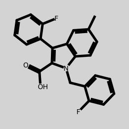 Cc1ccc2c(c1)c(-c1ccccc1F)c(C(=O)O)n2Cc1ccccc1F